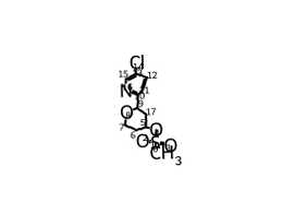 CS(=O)(=O)OC1CCOC(c2ccc(Cl)cn2)C1